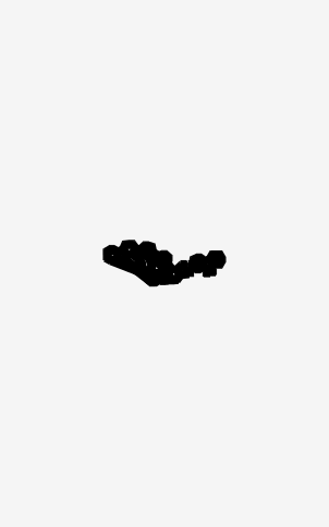 CC1(C)c2ccccc2-c2ccc(N3CC4C5=c6c7c8c9c%10c%11c%12c(c%13ccc%14c%15ccc%16c(c6c6c%16c%15c(c%14c%13%11)c%10c86)C4C3)C=CC3C%12C=9C4C3C=CC5C74)cc21